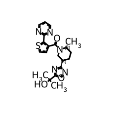 C[C@@H]1CC[C@@H](c2noc(C(C)(C)O)n2)CN1C(=O)c1ccsc1-c1ncccn1